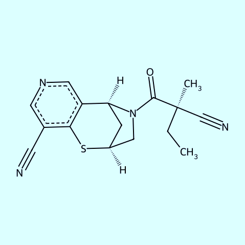 CC[C@](C)(C#N)C(=O)N1C[C@@H]2C[C@H]1c1cncc(C#N)c1S2